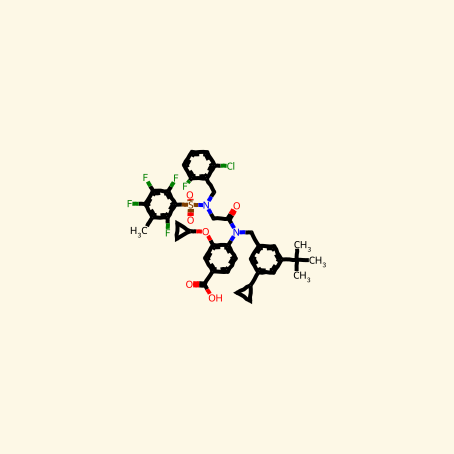 Cc1c(F)c(F)c(F)c(S(=O)(=O)N(CC(=O)N(Cc2cc(C3CC3)cc(C(C)(C)C)c2)c2ccc(C(=O)O)cc2OC2CC2)Cc2c(F)cccc2Cl)c1F